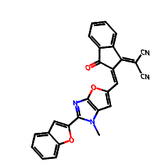 Cn1c(-c2cc3ccccc3o2)nc2oc(/C=C3\C(=O)c4ccccc4C3=C(C#N)C#N)cc21